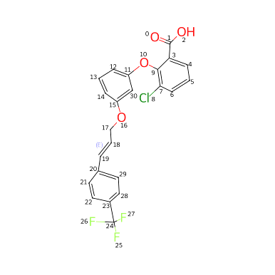 O=C(O)c1cccc(Cl)c1Oc1cccc(OC/C=C/c2ccc(C(F)(F)F)cc2)c1